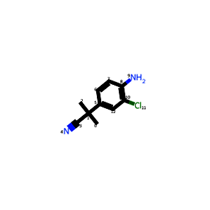 CC(C)(C#N)c1ccc(N)c(Cl)c1